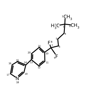 CC(C)(C)CCCC(F)(F)c1ccc(-c2cccnc2)cc1